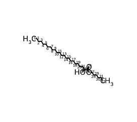 CCCCCCCCCCCCCCCCCCCCCCC(O)C(=O)OCCCCCC